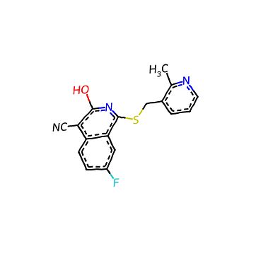 Cc1ncccc1CSc1nc(O)c(C#N)c2ccc(F)cc12